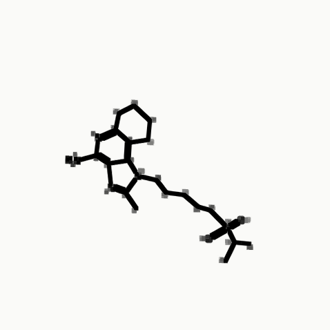 Cc1nc2c(N)nc3c(c2n1CCCCCS(=O)(=O)C(C)C)CCCC3